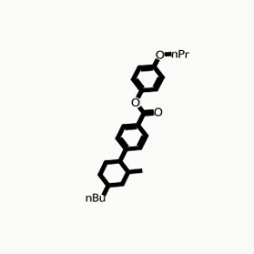 CCCCC1CCC(c2ccc(C(=O)Oc3ccc(OCCC)cc3)cc2)C(C)C1